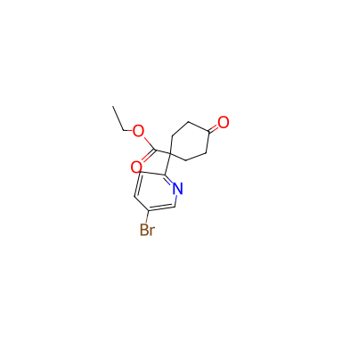 CCOC(=O)C1(c2ccc(Br)cn2)CCC(=O)CC1